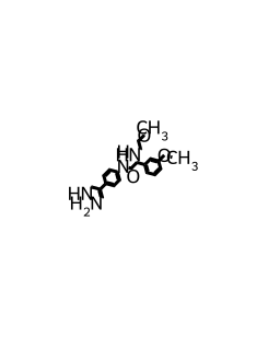 COCCNC(C(=O)Nc1ccc(/C(C=N)=C/N)cc1)c1cccc(OC)c1